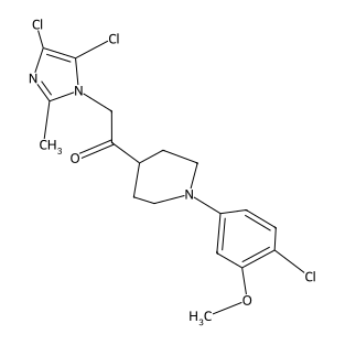 COc1cc(N2CCC(C(=O)Cn3c(C)nc(Cl)c3Cl)CC2)ccc1Cl